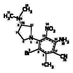 Cc1c(Br)c(N2CC[C@H](N(C)C)C2)c([N+](=O)[O-])c(N)c1C#N